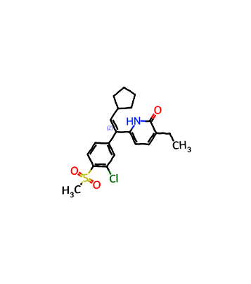 CCc1ccc(/C(=C\C2CCCC2)c2ccc(S(C)(=O)=O)c(Cl)c2)[nH]c1=O